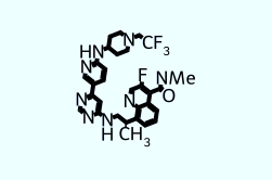 CNC(=O)c1c(F)cnc2c([C@H](C)CNc3cc(-c4ccc(NC5CCN(CC(F)(F)F)CC5)nc4)ncn3)cccc12